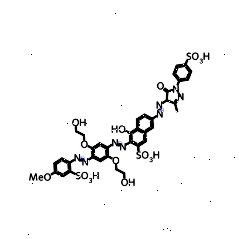 COc1ccc(/N=N/c2cc(OCCO)c(/N=N/c3c(S(=O)(=O)O)cc4cc(/N=N/C5C(=O)N(c6ccc(S(=O)(=O)O)cc6)N=C5C)ccc4c3O)cc2OCCO)c(S(=O)(=O)O)c1